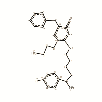 CCCC(CCCCSc1nc(=O)c(Cc2ccccc2)cn1CCCO)c1ccc(Cl)cc1